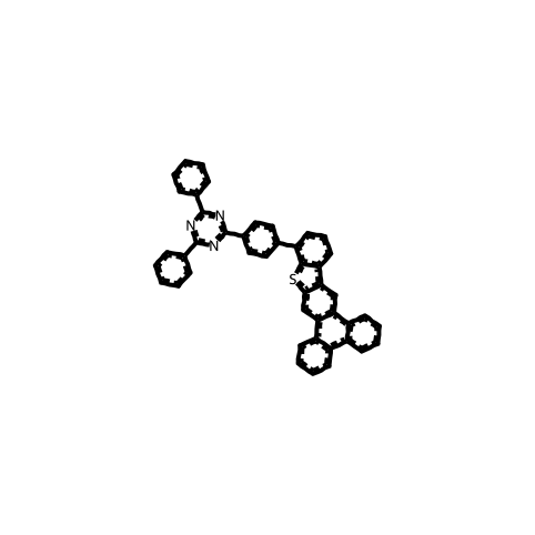 c1ccc(-c2nc(-c3ccccc3)nc(-c3ccc(-c4cccc5c4sc4cc6c7ccccc7c7ccccc7c6cc45)cc3)n2)cc1